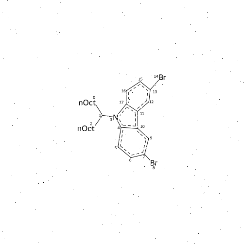 CCCCCCCCC(CCCCCCCC)n1c2ccc(Br)cc2c2cc(Br)ccc21